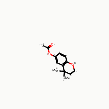 CCC(=O)Oc1ccc2c(c1)C(OC)(OC)CCO2